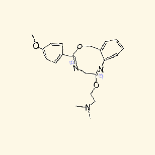 COc1ccc(/C2=N/C/C(OCCN(C)C)=N\c3ccccc3CO2)cc1